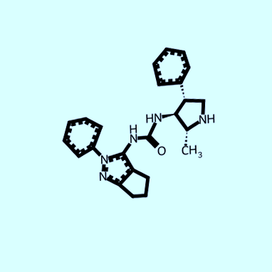 C[C@H]1NC[C@@H](c2ccccc2)[C@@H]1NC(=O)Nc1c2c(nn1-c1ccccc1)CCC2